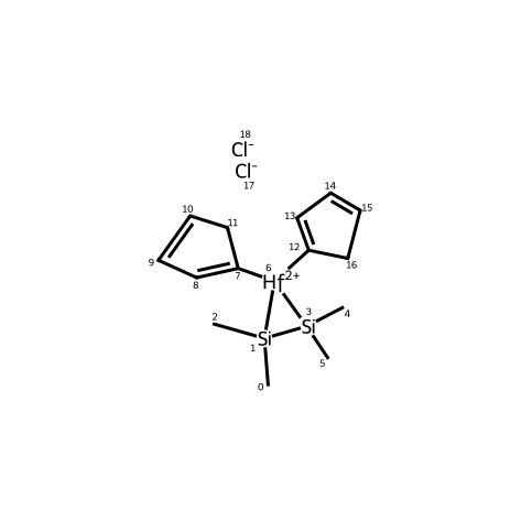 C[Si]1(C)[Si](C)(C)[Hf+2]1([C]1=CC=CC1)[C]1=CC=CC1.[Cl-].[Cl-]